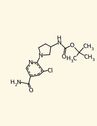 CC(C)(C)OC(=O)NC1CCN(c2ncc(C(N)=O)cc2Cl)C1